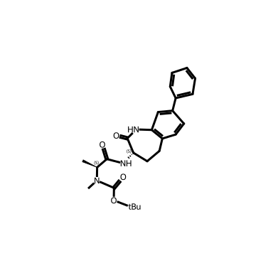 C[C@@H](C(=O)N[C@H]1CCc2ccc(-c3ccccc3)cc2NC1=O)N(C)C(=O)OC(C)(C)C